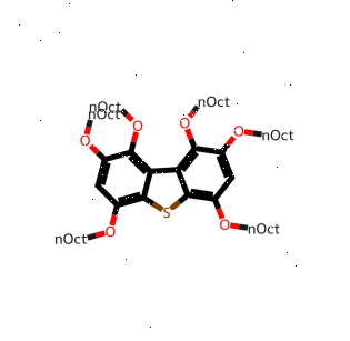 CCCCCCCCOc1cc(OCCCCCCCC)c2sc3c(OCCCCCCCC)cc(OCCCCCCCC)c(OCCCCCCCC)c3c2c1OCCCCCCCC